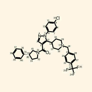 O=C(c1cnn(-c2ccc(Cl)cc2)c1C1CCN(Cc2ccc(C(F)(F)F)cc2)CC1)N1CC[C@H](c2ccccc2)C1